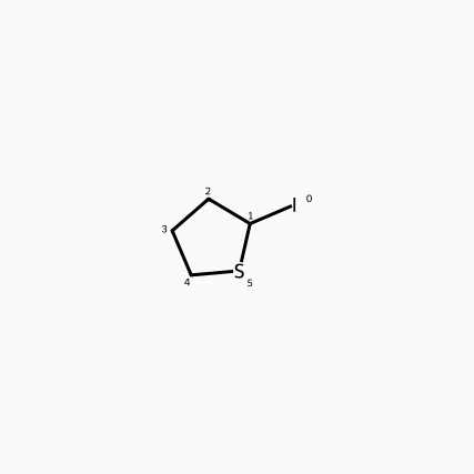 IC1CCCS1